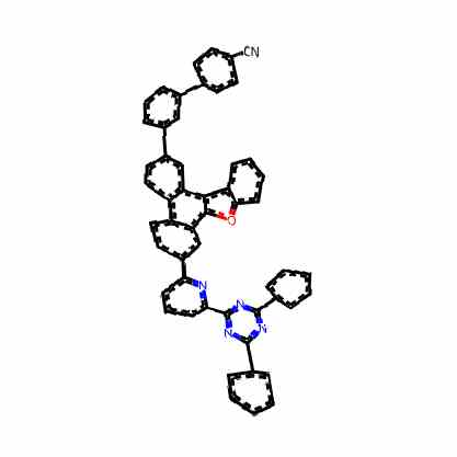 N#Cc1ccc(-c2cccc(-c3ccc4c5ccc(-c6cccc(-c7nc(-c8ccccc8)nc(-c8ccccc8)n7)n6)cc5c5oc6ccccc6c5c4c3)c2)cc1